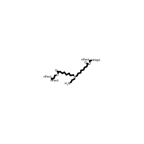 CCCCCCCC(CCCCC)OC(=O)CCCCCCCN(CCCN)CCCCCCCC(=O)OCCC(CCCCC)CCCCC